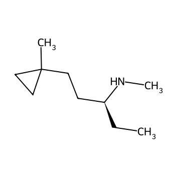 CC[C@@H](CCC1(C)CC1)NC